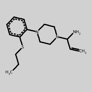 C=CC(N)N1CCN(c2ccccc2SCCC)CC1